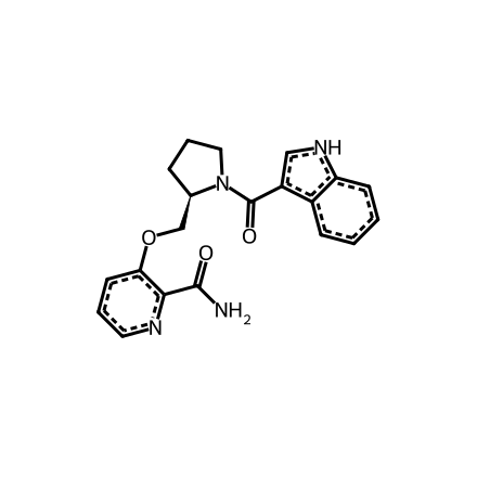 NC(=O)c1ncccc1OC[C@H]1CCCN1C(=O)c1c[nH]c2ccccc12